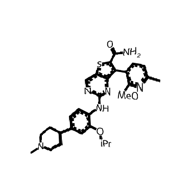 COc1nc(C)ccc1-c1c(C(N)=O)sc2cnc(Nc3ccc(C4CCN(C)CC4)cc3OC(C)C)nc12